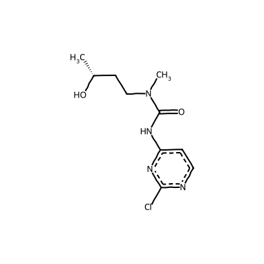 C[C@@H](O)CCN(C)C(=O)Nc1ccnc(Cl)n1